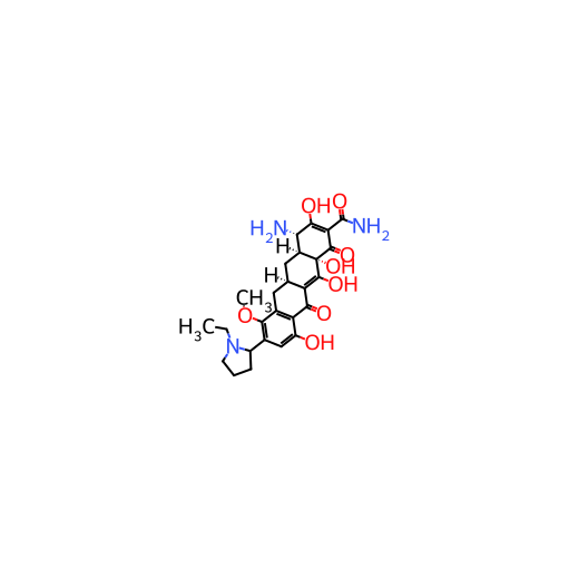 CCN1CCCC1c1cc(O)c2c(c1OC)C[C@H]1C[C@H]3[C@H](N)C(O)=C(C(N)=O)C(=O)[C@@]3(O)C(O)=C1C2=O